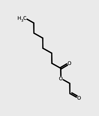 CCCCCCCC(=O)OCC=O